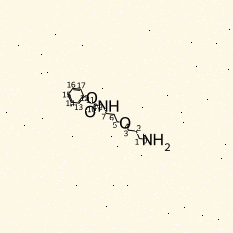 NCCCOCCCNC(=O)Oc1c[c]ccc1